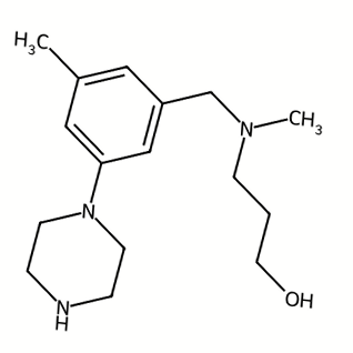 Cc1cc(CN(C)CCCO)cc(N2CCNCC2)c1